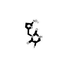 O=c1[nH]cc(F)c(=O)n1Cc1ccc([N+](=O)[O-])s1